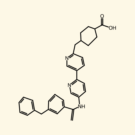 C=C(Nc1ccc(-c2ccc(CC3CCC(C(=O)O)CC3)nc2)nc1)c1cccc(Cc2ccccc2)c1